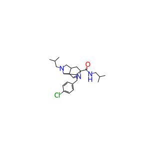 CC(C)CNC(=O)C12CC3CN(CC(C)C)C(C3C=N1)C2Cc1ccc(Cl)cc1